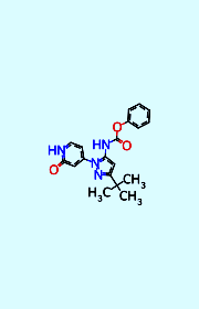 CC(C)(C)c1cc(NC(=O)Oc2ccccc2)n(-c2cc[nH]c(=O)c2)n1